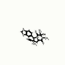 CN1C(=O)C2C[C@@](C)(C#N)C(c3ccc4c(c3)OCO4)N2C(=O)C1(C)S